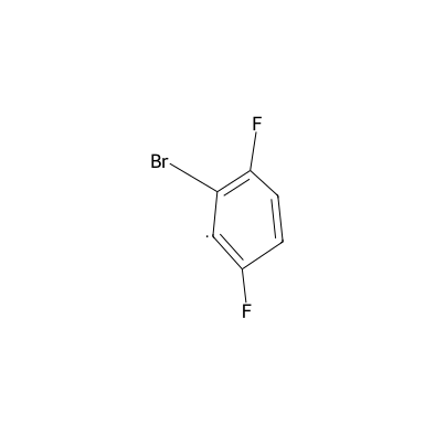 Fc1[c]c(Br)c(F)cc1